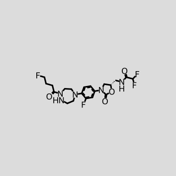 O=C(NC[C@H]1CN(c2ccc(N3CCNN(C(=O)CCCF)CC3)c(F)c2)C(=O)O1)C(F)F